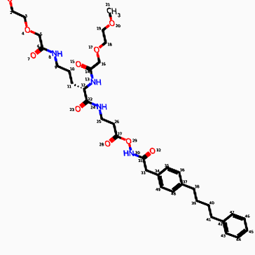 COCCOCC(=O)NCCC[C@H](NC(=O)COCCOC)C(=O)NCCC(=O)ONC(=O)Cc1ccc(CCCCc2ccccc2)cc1